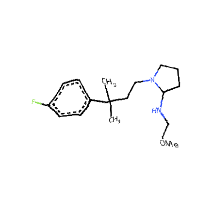 COCNC1CCCN1CCC(C)(C)c1ccc(F)cc1